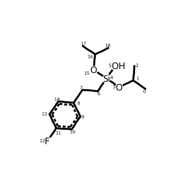 CC(C)O[Si](O)(CCc1ccc(F)cc1)OC(C)C